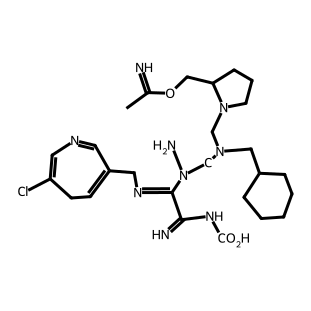 CC(=N)OCC1CCCN1CN(CC1CCCCC1)CN(N)/C(=N\CC1=CCC(Cl)=CN=C1)C(=N)NC(=O)O